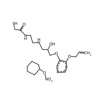 C=CCOc1ccccc1OCC(O)CNCCNC(=O)CS.O=[N+]([O-])OC1CCCCC1